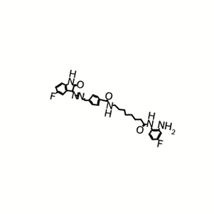 Nc1cc(F)ccc1NC(=O)CCCCCCCNC(=O)c1ccc(/C=N/N=C2\C(=O)Nc3ccc(F)cc32)cc1